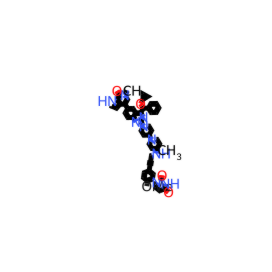 COc1ccc(C#CCNC2(C)CCN(C3CCN(c4nc(C(OC5CC5)c5ccccc5)c5cc(-c6cn(C)c(=O)c7[nH]ccc67)ccc5n4)CC3)CC2)cc1N1CCC(=O)NC1=O